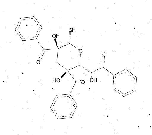 O=C(c1ccccc1)C(O)[C@H]1O[C@@H](S)[C@@](O)(C(=O)c2ccccc2)C[C@@]1(O)C(=O)c1ccccc1